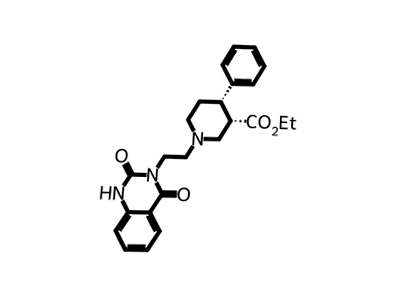 CCOC(=O)[C@@H]1CN(CCn2c(=O)[nH]c3ccccc3c2=O)CC[C@@H]1c1ccccc1